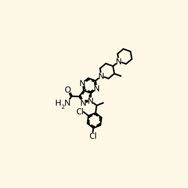 CC1CN(c2cnc3c(C(N)=O)nn(C(C)c4ccc(Cl)cc4Cl)c3n2)CCC1N1CCCCC1